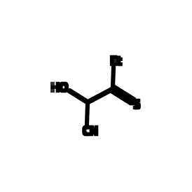 CCC(=S)C(O)C#N